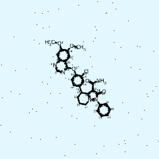 COc1cc2ncnc(Oc3ccc(C4CCCn5c4c(C(N)=O)c(=O)n5-c4ccccc4)cc3Cl)c2cc1OC